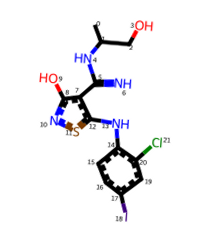 CC(CO)NC(=N)c1c(O)nsc1Nc1ccc(I)cc1Cl